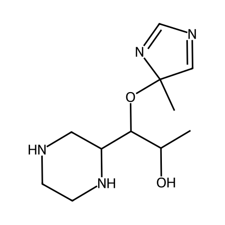 CC(O)C(OC1(C)C=NC=N1)C1CNCCN1